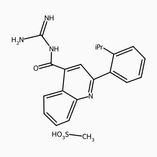 CC(C)c1ccccc1-c1cc(C(=O)NC(=N)N)c2ccccc2n1.CS(=O)(=O)O